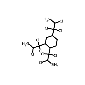 [SiH3]C(Cl)C(Cl)(Cl)C1CCC(C(Cl)(Cl)C([SiH3])Cl)C(C(Cl)(Cl)C([SiH3])Cl)C1